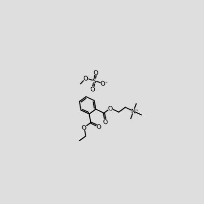 CCOC(=O)c1ccccc1C(=O)OCC[N+](C)(C)C.COS(=O)(=O)[O-]